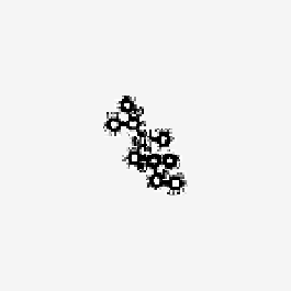 c1ccc(-c2nc(-c3cc(-c4ccccc4)c4c(c3)oc3ccccc34)nc(-c3cccc4oc5c(-c6cccc7c8ccccc8n(-c8ccccc8)c67)cccc5c34)n2)cc1